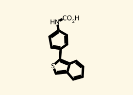 O=C(O)Nc1ccc(-c2scc3ccccc23)cc1